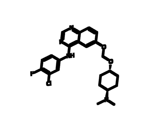 CN(C)[C@H]1CC[C@H](OCOc2ccc3ncnc(Nc4ccc(F)c(Cl)c4)c3c2)CC1